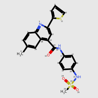 Cc1ccc2nc(-c3cccs3)cc(C(=O)Nc3ccc(NS(C)(=O)=O)cc3)c2c1